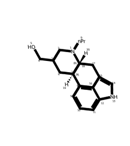 CCCN1CC(CO)C[C@@H]2c3cccc4[nH]cc(c34)C[C@H]21